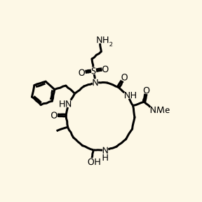 CNC(=O)C1CCCCNC(O)CCC(C)C(=O)NC(Cc2ccccc2)CN(S(=O)(=O)CCN)CC(=O)N1